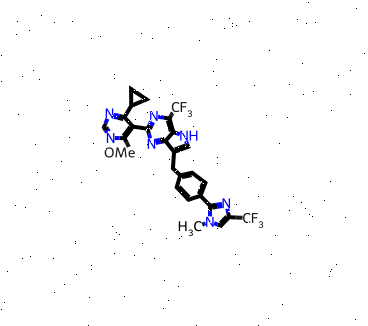 COc1ncnc(C2CC2)c1-c1nc(C(F)(F)F)c2[nH]cc(Cc3ccc(-c4nc(C(F)(F)F)cn4C)cc3)c2n1